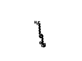 CCCCCCCCCN1CCC(CCCC(=O)c2ncco2)CC1